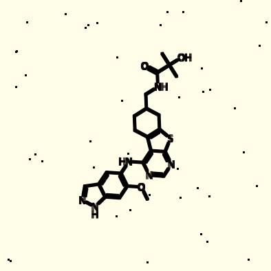 COc1cc2[nH]ncc2cc1Nc1ncnc2sc3c(c12)CCC(CNC(=O)C(C)(C)O)C3